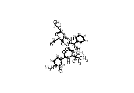 CCOC(=O)CN(NC(=O)C(NC(=O)C(NC(=O)c1ccc(N)c(Cl)c1)C(C)(C)C)c1ccccc1)C(=O)CC#N